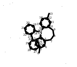 Cc1ccc2c(c1)CCCc1cc(C)ccc1N2c1ccccc1-c1ccccc1